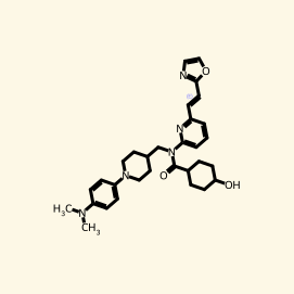 CN(C)c1ccc(N2CCC(CN(C(=O)C3CCC(O)CC3)c3cccc(/C=C/c4ncco4)n3)CC2)cc1